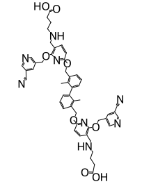 Cc1c(COc2ccc(CNCCCC(=O)O)c(OCc3cncc(C#N)c3)n2)cccc1-c1cccc(COc2ccc(CNCCCC(=O)O)c(OCc3cncc(C#N)c3)n2)c1C